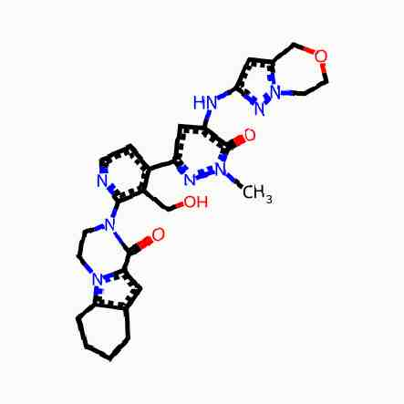 Cn1nc(-c2ccnc(N3CCn4c(cc5c4CCCC5)C3=O)c2CO)cc(Nc2cc3n(n2)CCOC3)c1=O